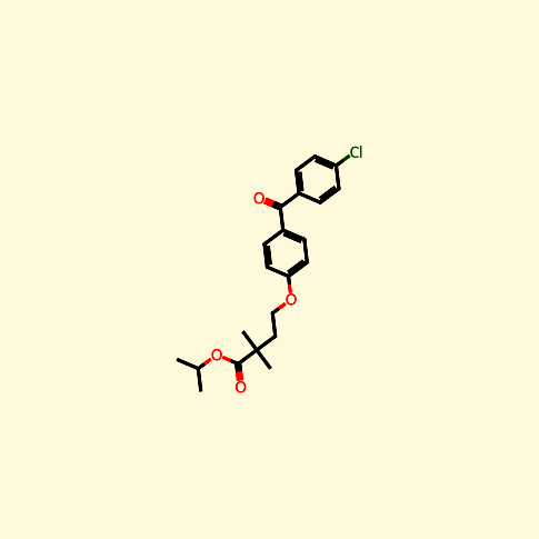 CC(C)OC(=O)C(C)(C)CCOc1ccc(C(=O)c2ccc(Cl)cc2)cc1